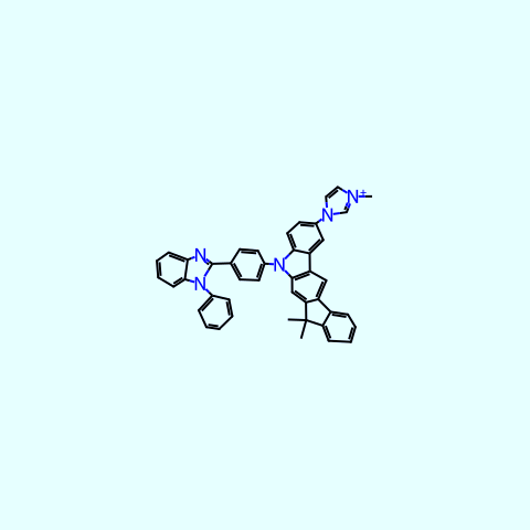 C[n+]1ccn(-c2ccc3c(c2)c2cc4c(cc2n3-c2ccc(-c3nc5ccccc5n3-c3ccccc3)cc2)C(C)(C)c2ccccc2-4)c1